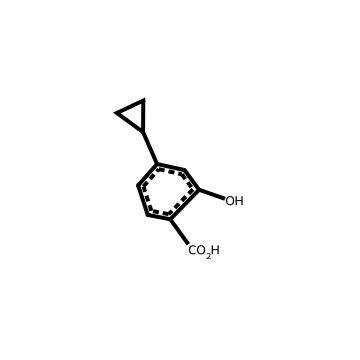 O=C(O)c1ccc(C2CC2)cc1O